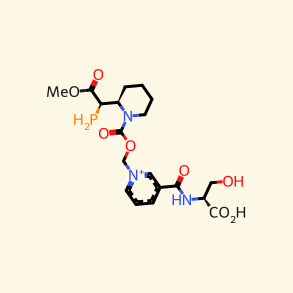 COC(=O)[C@H](P)[C@H]1CCCCN1C(=O)OC[n+]1cccc(C(=O)N[C@@H](CO)C(=O)O)c1